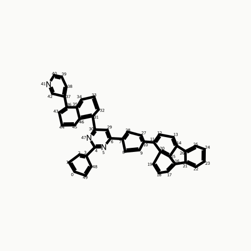 c1ccc(-c2nc(-c3ccc(-c4ccc5c6c(cccc46)-c4ccccc4-5)cc3)cc(-c3cccc4c(-c5cccnc5)cccc34)n2)cc1